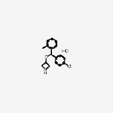 Cc1ccccc1C(OC1CNC1)c1ccc(Cl)cc1.Cl